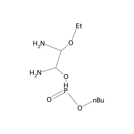 CCCCO[PH](=O)OC(N)C(N)OCC